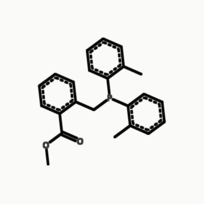 COC(=O)c1ccccc1CP(c1ccccc1C)c1ccccc1C